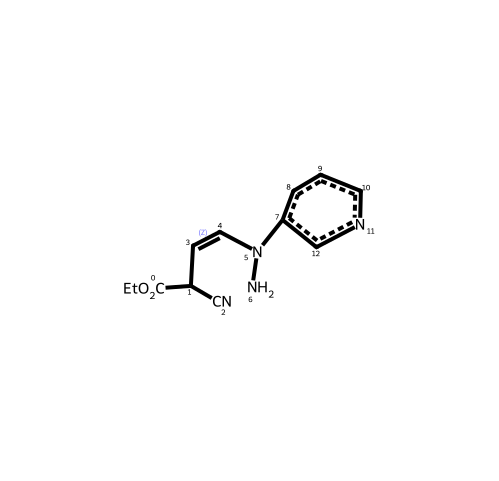 CCOC(=O)C(C#N)/C=C\N(N)c1cccnc1